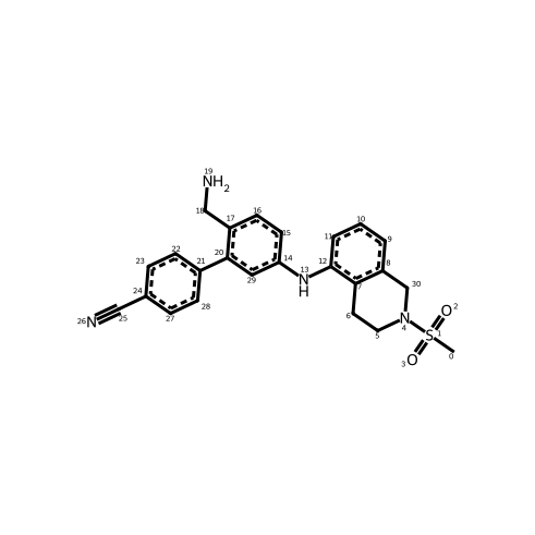 CS(=O)(=O)N1CCc2c(cccc2Nc2ccc(CN)c(-c3ccc(C#N)cc3)c2)C1